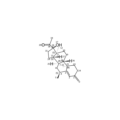 C=C1C=C2[C@@H](C)C[C@@H]3[C@H](CC[C@@]4(C)[C@H]3CC[C@]4(O)C(C)=O)[C@@]2(C)CC1